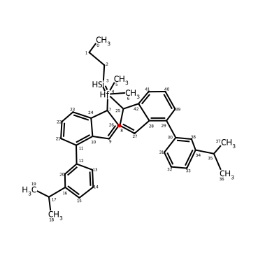 CCC[SiH]=[Hf]([CH3])([CH3])([CH]1C=Cc2c(-c3cccc(C(C)C)c3)cccc21)[CH]1C=Cc2c(-c3cccc(C(C)C)c3)cccc21